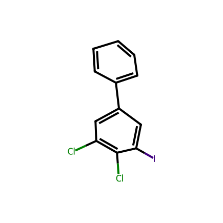 Clc1cc(-c2ccccc2)cc(I)c1Cl